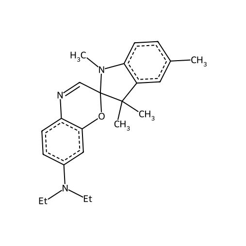 CCN(CC)c1ccc2c(c1)OC1(C=N2)N(C)c2ccc(C)cc2C1(C)C